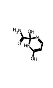 NC(=O)C1(O)N=CC=C(O)N1